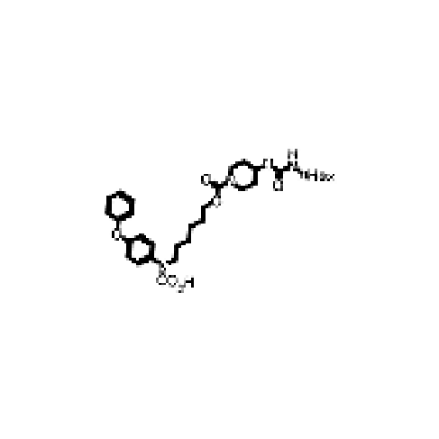 CCCCCCNC(=O)OC1CCN(C(=O)OCCCCCCN(C(=O)O)c2ccc(Oc3ccccc3)cc2)CC1